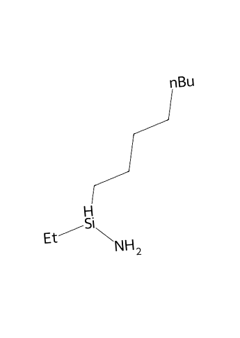 CCCCCCCC[SiH](N)CC